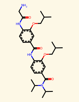 CC(C)COc1cc(C(=O)Nc2ccc(C(=O)N(C(C)C)C(C)C)cc2OCC(C)C)ccc1NC(=O)CN